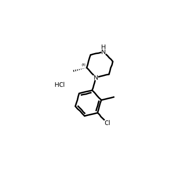 Cc1c(Cl)cccc1N1CCNC[C@H]1C.Cl